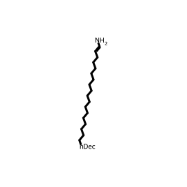 CCCCCCCCCCCCCCCCCCCCCCCCCCC=CN